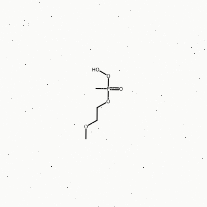 COCCOP(C)(=O)OO